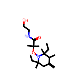 C=C1CC(C)(CC)N(OC(C)(C)C(=O)NCCO)C(C)(CC)C1C